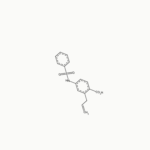 C=CCc1cc(NS(=O)(=O)c2ccccc2)ccc1C(=O)O